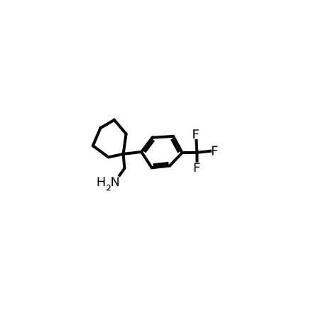 NCC1(c2ccc(C(F)(F)F)cc2)CCCCC1